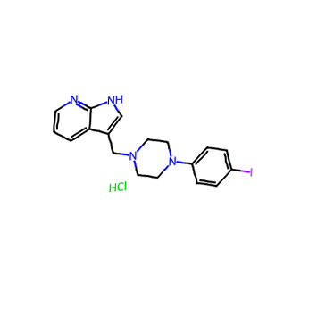 Cl.Ic1ccc(N2CCN(Cc3c[nH]c4ncccc34)CC2)cc1